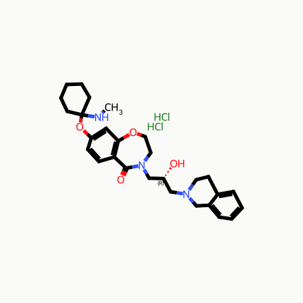 CNC1(Oc2ccc3c(c2)OCCN(C[C@H](O)CN2CCc4ccccc4C2)C3=O)CCCCC1.Cl.Cl